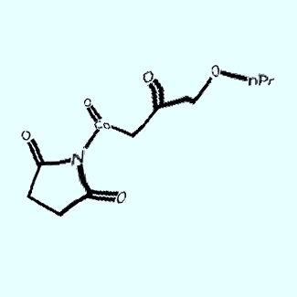 CCCOCC(=O)[CH2][Co](=[O])[N]1C(=O)CCC1=O